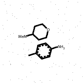 CNC1CCOCC1.Cc1ccc(N)cc1